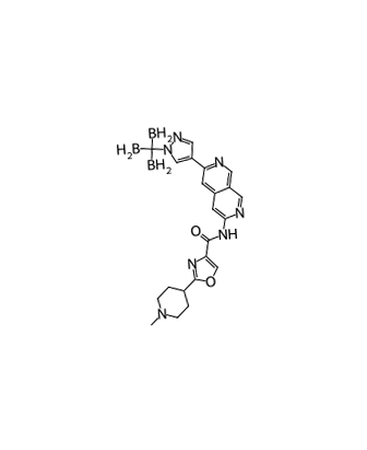 BC(B)(B)n1cc(-c2cc3cc(NC(=O)c4coc(C5CCN(C)CC5)n4)ncc3cn2)cn1